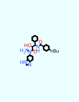 CCCCc1ccc(C(=O)NC(c2ccccc2)C(O)C(=O)N(N)c2ccc3nc[nH]c3c2)cc1